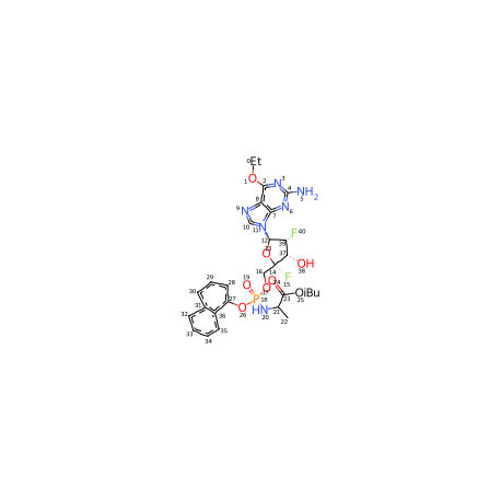 CCOc1nc(N)nc2c1ncn2[C@@H]1O[C@](F)(COP(=O)(NC(C)C(=O)OCC(C)C)Oc2cccc3ccccc23)[C@@H](O)[C@H]1F